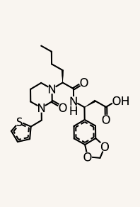 CCCC[C@@H](C(=O)N[C@@H](CC(=O)O)c1ccc2c(c1)OCO2)N1CCCN(Cc2cccs2)C1=O